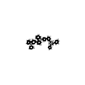 c1ccc(-c2nc(-c3ccccc3)nc(-c3cccc(-c4ccc(-n5c6ccccc6c6c(-c7ccc8c9ccccc9n(-c9ccccc9)c8c7)cccc65)cc4)c3)n2)cc1